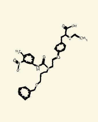 CCOC(Cc1ccc(OCCN(CCCOCc2ccccc2)C(=O)Nc2ccc(C)c([N+](=O)[O-])c2)cc1)C(=O)O